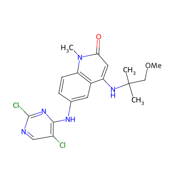 COCC(C)(C)Nc1cc(=O)n(C)c2ccc(Nc3nc(Cl)ncc3Cl)cc12